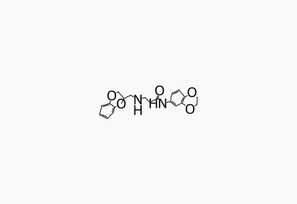 O=C(CCNCC1COc2ccccc2O1)Nc1ccc2c(c1)OCCO2